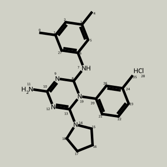 Cc1cc(C)cc(NC2N=C(N)N=C(N3CCCC3)N2c2cccc(C)c2)c1.Cl